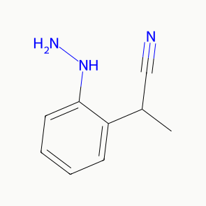 CC(C#N)c1ccccc1NN